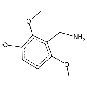 COc1ccc([O])c(OC)c1CN